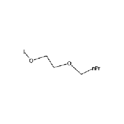 CCCCOCCOI